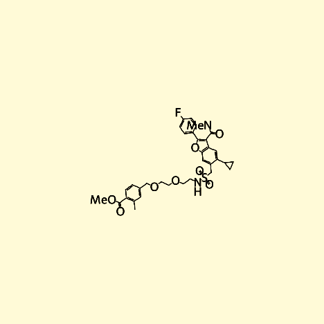 CNC(=O)c1c(-c2ccc(F)cc2)oc2cc(CS(=O)(=O)NCCOCCOCc3ccc(C(=O)OC)c(C)c3)c(C3CC3)cc12